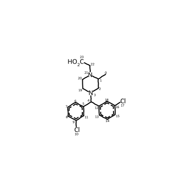 CC1CN(C(c2cccc(Cl)c2)c2cccc(Cl)c2)CCN1CC(=O)O